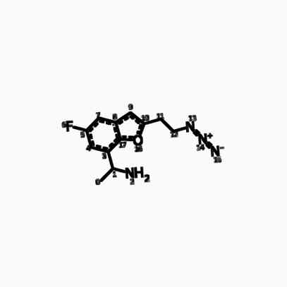 CC(N)c1cc(F)cc2cc(CCN=[N+]=[N-])oc12